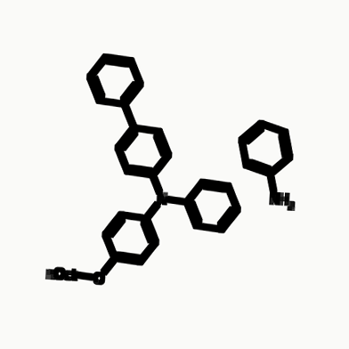 CCCCCCCCOc1ccc(N(c2ccccc2)c2ccc(-c3ccccc3)cc2)cc1.Nc1ccccc1